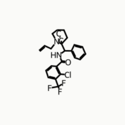 C=CCN1CC2CCC1(C(NC(=O)c1cccc(C(F)(F)F)c1Cl)c1ccccc1)CC2